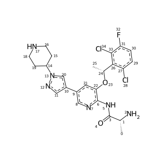 C[C@@H](N)C(=O)Nc1ncc(-c2cnn(C3CCNCC3)c2)cc1O[C@H](C)c1c(Cl)ccc(F)c1Cl